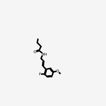 CCCC(=O)NCC=Cc1cc(OC)ccc1F